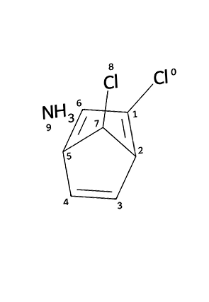 ClC1=C2C=CC(=C1)C2Cl.N